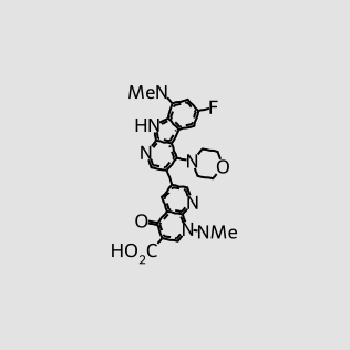 CNc1cc(F)cc2c1[nH]c1ncc(-c3cnc4c(c3)c(=O)c(C(=O)O)cn4NC)c(N3CCOCC3)c12